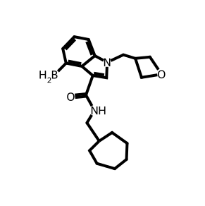 Bc1cccc2c1c(C(=O)NCC1CCCCCC1)cn2CC1COC1